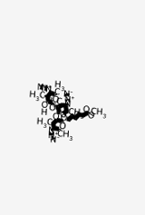 COC(=O)CCCCCO[C@H]1OC(C)[C@@H](N=[N+]=[N-])[C@H](C)C1O[C@H]1OC(C)[C@@H](N=[N+]=[N-])[C@H](C)C1O[C@H]1OC(C)[C@@H](N=[N+]=[N-])[C@H](C)C1O